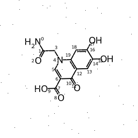 NC(=O)Cn1cc(C(=O)O)c(=O)c2cc(O)c(O)cc21